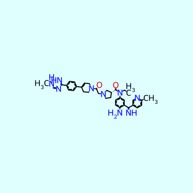 CCN(C(=O)[C@@H]1CCN(CC(=O)N2CC=C(c3ccc(C(=N)/N=C\NC)cc3)CC2)C1)c1ccc(N)c(C(=N)c2ccc(C)nc2)c1